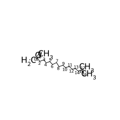 [CH2]C(CCCCCCCCCCCCCC(C)C)OC